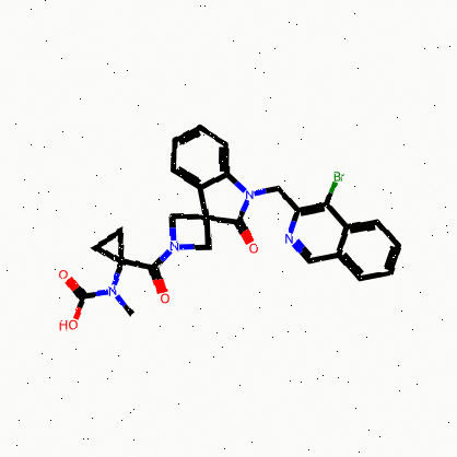 CN(C(=O)O)C1(C(=O)N2CC3(C2)C(=O)N(Cc2ncc4ccccc4c2Br)c2ccccc23)CC1